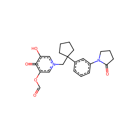 O=COc1cn(CC2(c3cccc(N4CCCC4=O)c3)CCCC2)cc(O)c1=O